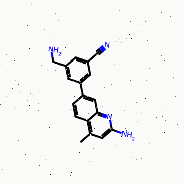 Cc1cc(N)nc2cc(-c3cc(C#N)cc(CN)c3)ccc12